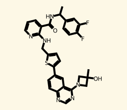 CC(NC(=O)c1cccnc1NCc1ccc(-c2ccc3ncnc(N4CC(C)(O)C4)c3c2)s1)c1ccc(F)c(F)c1